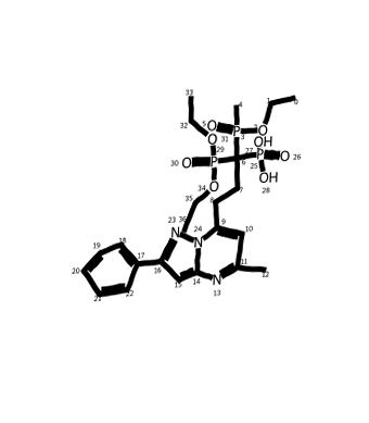 CCOP(C)(=O)C(CCc1cc(C)nc2cc(-c3ccccc3)nn12)(P(=O)(O)O)P(=O)(OCC)OCC